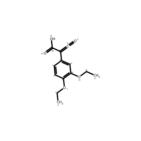 CCOc1ccc(C(=C=O)C(=O)O)cc1OCC